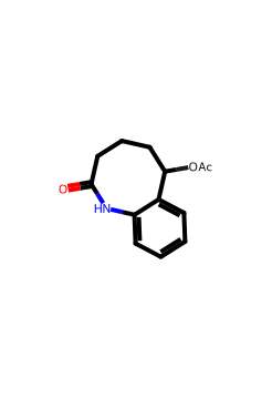 CC(=O)OC1CCCC(=O)Nc2ccccc21